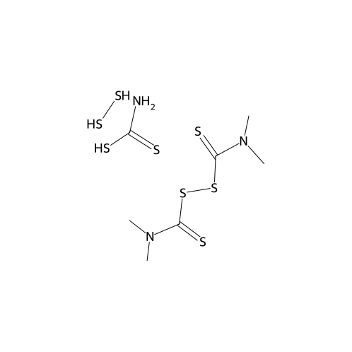 CN(C)C(=S)SSC(=S)N(C)C.NC(=S)S.SS